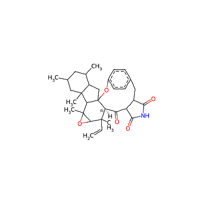 C=CC1(C)C2OC2(C)C2C3(C)CC(C)CC(C)C3CC23Oc2ccc(cc2)CC2C(=O)NC(=O)C2C(=O)[C@@H]13